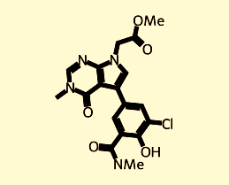 CNC(=O)c1cc(-c2cn(CC(=O)OC)c3ncn(C)c(=O)c23)cc(Cl)c1O